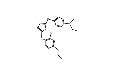 CCOc1ccc(Oc2ncc(Oc3ccc(N(I)CC)cc3)s2)c(Cl)c1